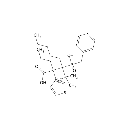 CCCCCC(C(C)(C)C)(C(CCC)(C(=O)O)c1ccsc1)P(=O)(O)Cc1ccccc1